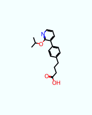 CC(C)Oc1ncccc1-c1ccc(CCCC(=O)O)cc1